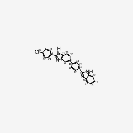 Clc1ccc(-c2nc3cc(-c4ccc(-c5nc6ccccc6[nH]5)cc4)ccc3[nH]2)cc1